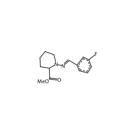 COC(=O)C1CCCCN1N=Cc1cccc(F)c1